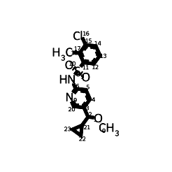 COC(c1ccc(NS(=O)(=O)c2cccc(Cl)c2C)nc1)C1CC1